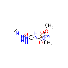 C=CCOC(=O)/C(C#N)=c1\sc(=CNc2ccc(NC(=O)NCCN3CCCC3)cc2)c(=O)n1CC